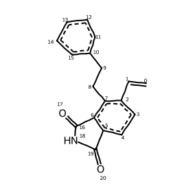 C=Cc1ccc2c(c1CCc1ccccc1)C(=O)NC2=O